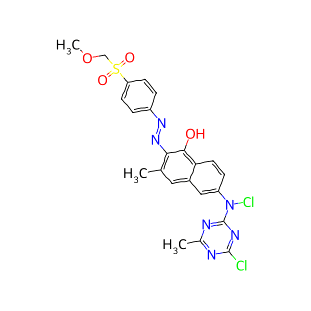 COCS(=O)(=O)c1ccc(N=Nc2c(C)cc3cc(N(Cl)c4nc(C)nc(Cl)n4)ccc3c2O)cc1